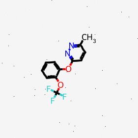 Cc1ccc(Oc2ccccc2OC(F)(F)F)nn1